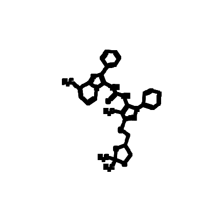 Cc1c(OCC2COC(C)(C)O2)nn(-c2ccccc2)c1NC(=O)Nc1c(-c2ccccc2)nc2c(C)cccn12